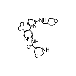 O=C(Nc1cc(-c2nc(NCC3CCOCC3)ccc2Cl)c(Cl)cn1)[C@H]1CNCCOC1